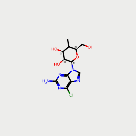 CC1[C@@H](CO)O[C@@H](n2cnc3c(Cl)nc(N)nc32)[C@@H](O)[C@H]1O